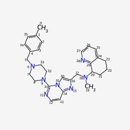 Cc1ccc(CN2CCN(c3nccc4nc(CN(C)C5CCCc6cccnc65)cn34)CC2)cc1